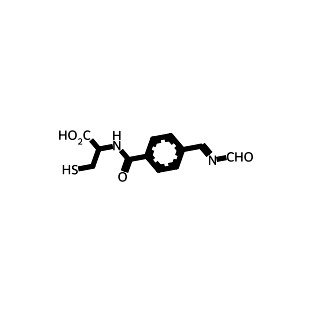 O=C/N=C/c1ccc(C(=O)NC(CS)C(=O)O)cc1